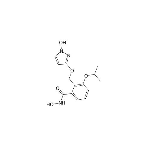 CC(C)Oc1cccc(C(=O)NO)c1COc1ccn(O)n1